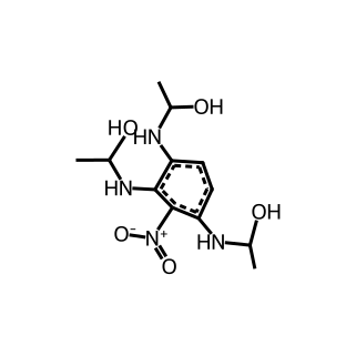 CC(O)Nc1ccc(NC(C)O)c([N+](=O)[O-])c1NC(C)O